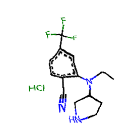 CCN(c1cc(C(F)(F)F)ccc1C#N)C1CCNC1.Cl